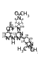 CC(=O)N1CCC2(CC1)CN(c1cc(Nc3cc(OC(F)F)ccn3)nc(-c3ccc4nn(C)c(C)c4c3)n1)C2